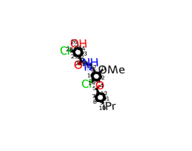 COc1cc(OCc2ccc(C(C)C)cc2)c(Cl)cc1/C=N/NC(=O)c1ccc(O)c(Cl)c1